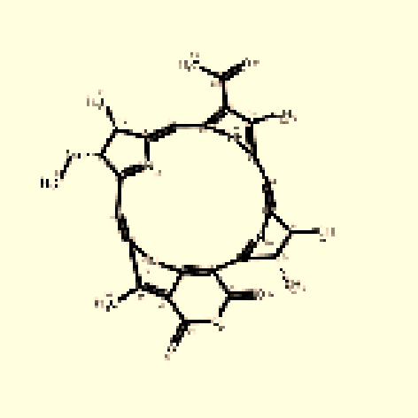 CC[C@H]1c2cc3[nH]c4c(c5nc(cc6[nH]c(cc(n2)[C@@H]1C)c(C(C)=O)c6C)[C@@H](C)[C@@H]5C)C(=O)OC(=O)c4c3C